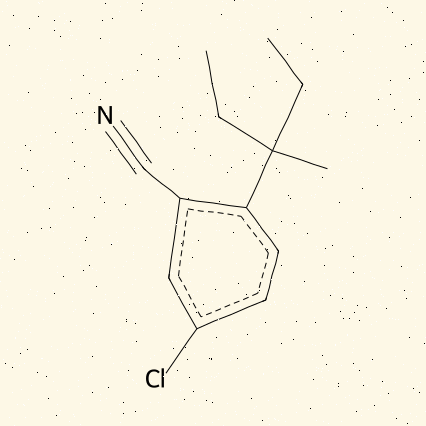 CCC(C)(CC)c1ccc(Cl)cc1C#N